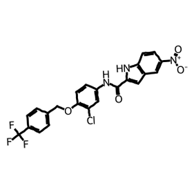 O=C(Nc1ccc(OCc2ccc(C(F)(F)F)cc2)c(Cl)c1)c1cc2cc([N+](=O)[O-])ccc2[nH]1